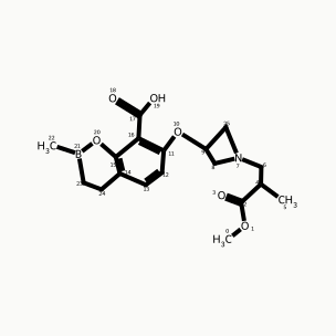 COC(=O)C(C)CN1CC(Oc2ccc3c(c2C(=O)O)OB(C)CC3)C1